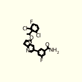 CC(On1ccc2ncc(-c3cc(F)cc(C(N)=O)c3)cc21)c1c(Cl)ccc(F)c1Cl